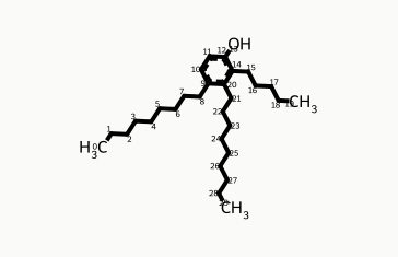 CCCCCCCCCc1ccc(O)c(CCCCC)c1CCCCCCCCC